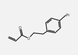 C=CC(=O)OCCc1ccc(C(C)C)cc1